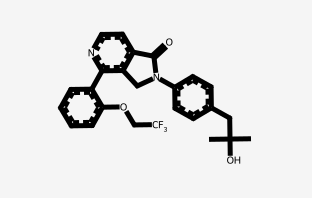 CC(C)(O)Cc1ccc(N2Cc3c(ccnc3-c3ccccc3OCC(F)(F)F)C2=O)cc1